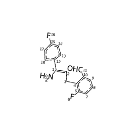 N/C(=C\Cc1c(F)cccc1C=O)c1ccc(F)cc1